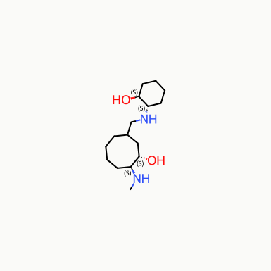 CN[C@H]1CCCCC(CN[C@H]2CCCC[C@@H]2O)C[C@@H]1O